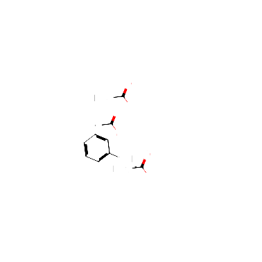 CC(=O)[O-].CC(=O)[O-].CC(=O)[O-].Cc1ccccc1.[Cr+3]